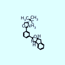 CC(C)(C)[C@H]1COC(c2cccc(C3=N[C@H]4c5ccccc5C[C@H]4O3)c2)=N1